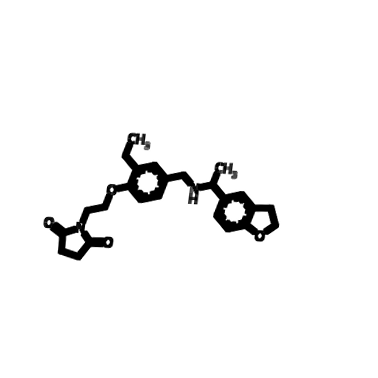 CCc1cc(CNC(C)c2ccc3c(c2)CCO3)ccc1OCCN1C(=O)CCC1=O